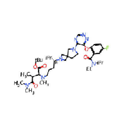 CCN(C(=O)c1cc(F)ccc1Oc1nncnc1N1CCC2(C1)CN([C@H](CCCN(C)C(C(=O)OC(C)(C)C)C(C)C(=O)N(C)C)C(C)C)C2)C(C)C